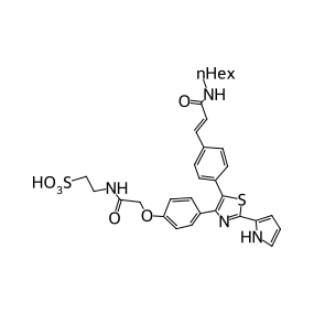 CCCCCCNC(=O)C=Cc1ccc(-c2sc(-c3ccc[nH]3)nc2-c2ccc(OCC(=O)NCCS(=O)(=O)O)cc2)cc1